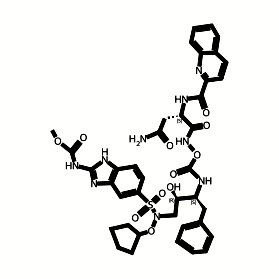 COC(=O)Nc1nc2cc(S(=O)(=O)N(C[C@@H](O)[C@H](Cc3ccccc3)NC(=O)ONC(=O)[C@H](CC(N)=O)NC(=O)c3ccc4ccccc4n3)OC3CCCC3)ccc2[nH]1